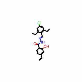 C=Cc1ccc(C(=O)NN=Cc2c(CC)cc(Cl)cc2CC)c(O)c1